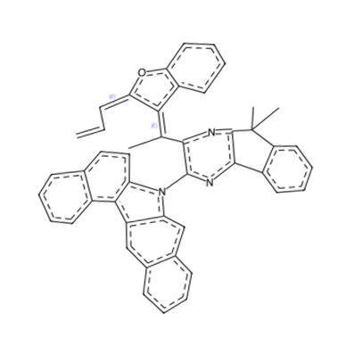 C=C/C=c1/oc2ccccc2/c1=C(/C)c1nc2c(nc1-n1c3cc4ccccc4cc3c3c4ccccc4ccc31)-c1ccccc1C2(C)C